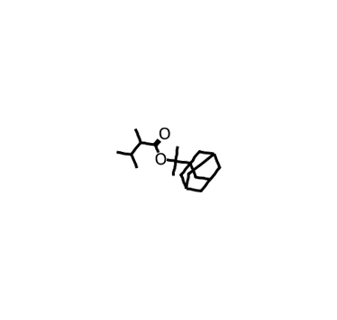 CC(C)C(C)C(=O)OC(C)(C)C12CC3CC(CC(C3)C1)C2